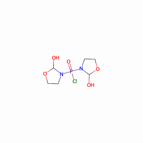 O=P(Cl)(N1CCOC1O)N1CCOC1O